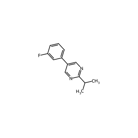 CC(C)c1ncc(-c2cccc(F)c2)cn1